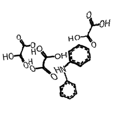 O=C(O)C(=O)O.O=C(O)C(=O)O.O=C(O)C(=O)O.c1ccc(Nc2ccccc2)cc1